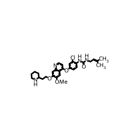 COc1cc2c(Oc3ccc(NC(=O)NCC=C(C)C)c(Cl)c3)ccnc2cc1OCCC1CCCCN1